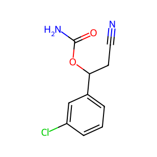 N#CCC(OC(N)=O)c1cccc(Cl)c1